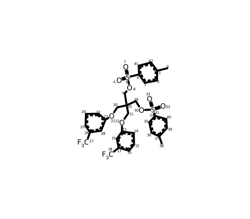 Cc1ccc(S(=O)(=O)OCC(COc2cccc(C(F)(F)F)c2)(COc2cccc(C(F)(F)F)c2)COS(=O)(=O)c2ccc(C)cc2)cc1